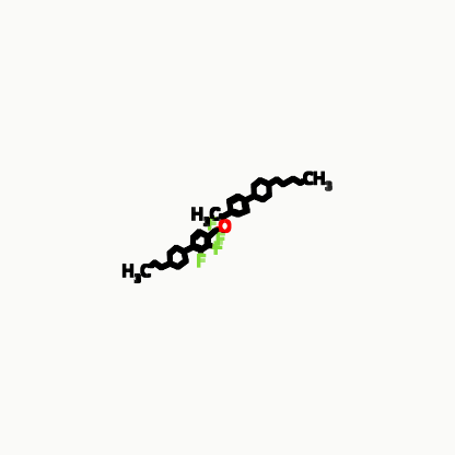 CCCCCC1CCC(c2ccc(C(C)OC(F)(F)c3ccc(C4CCC(CCC)CC4)c(F)c3F)cc2)CC1